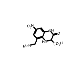 CNCc1cc([N+](=O)[O-])cc2c1NC(C(=O)O)C(=O)N2